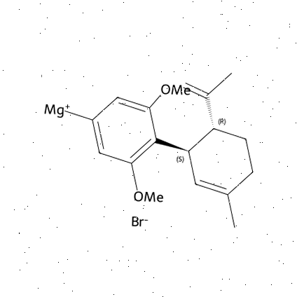 C=C(C)[C@@H]1CCC(C)=C[C@H]1c1c(OC)c[c]([Mg+])cc1OC.[Br-]